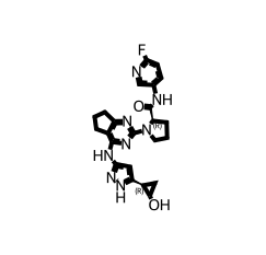 O=C(Nc1ccc(F)nc1)[C@H]1CCCN1c1nc2c(c(Nc3cc([C@H]4CC4O)[nH]n3)n1)CCC2